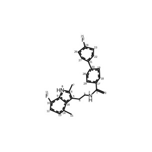 C=C(NCCc1c(C)[nH]c2c(F)ccc(C)c12)c1ccc(-c2ccc(F)cc2)cc1